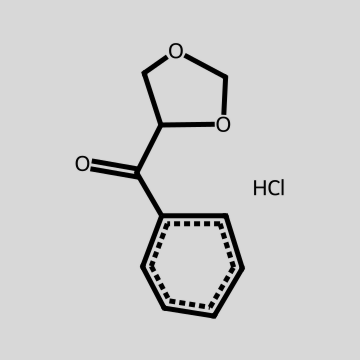 Cl.O=C(c1ccccc1)C1COCO1